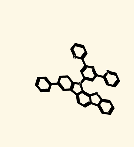 C1=C(c2ccccc2)CCc2c1c1ccc3c4ccccc4sc3c1n2-c1cc(-c2ccccn2)nc(-c2ccccn2)c1